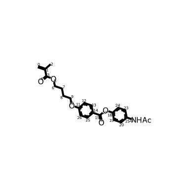 C=C(C)C(=O)OCCCCOc1ccc(C(=O)Oc2ccc(NC(C)=O)cc2)cc1